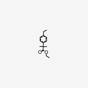 CCOC(=O)C(C)(C)c1ccc(CC)cc1